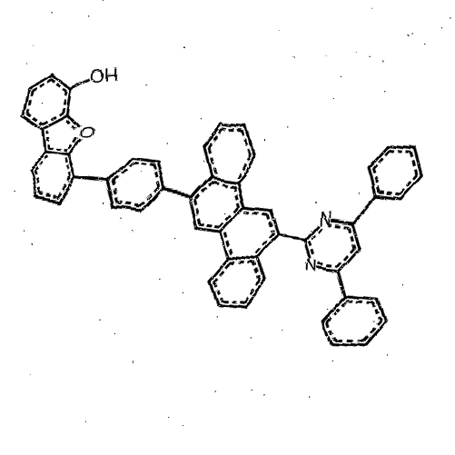 Oc1cccc2c1oc1c(-c3ccc(-c4cc5c6ccccc6c(-c6nc(-c7ccccc7)cc(-c7ccccc7)n6)cc5c5ccccc45)cc3)cccc12